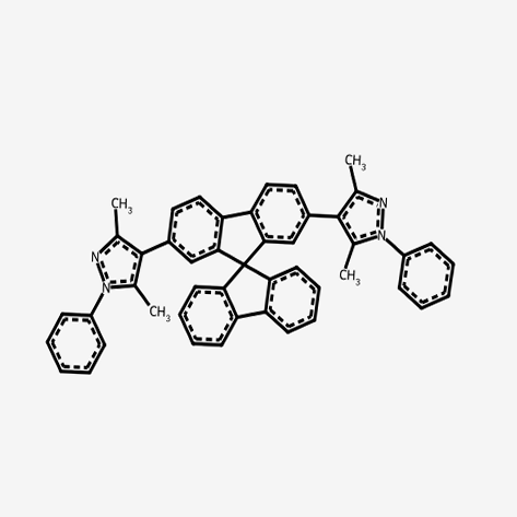 Cc1nn(-c2ccccc2)c(C)c1-c1ccc2c(c1)C1(c3ccccc3-c3ccccc31)c1cc(-c3c(C)nn(-c4ccccc4)c3C)ccc1-2